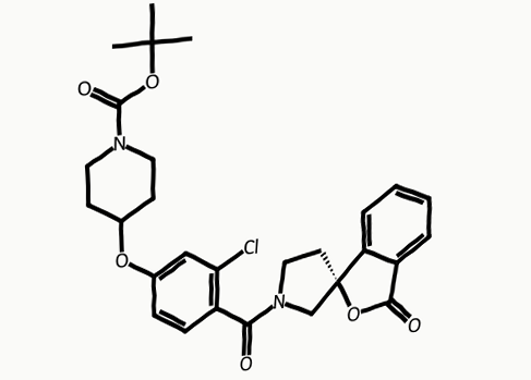 CC(C)(C)OC(=O)N1CCC(Oc2ccc(C(=O)N3CC[C@@]4(C3)OC(=O)c3ccccc34)c(Cl)c2)CC1